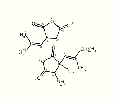 CC(C)=CC1(N)C(=O)OC(=O)C1N.CC(C)=CC1CC(=O)OC1=O.O